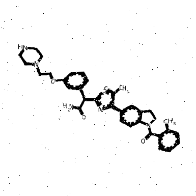 Cc1ccccc1C(=O)N1CCc2cc(-c3nc(C(C(N)=O)c4cccc(OCCN5CCNCC5)c4)sc3C)ccc21